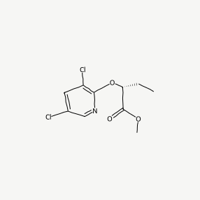 CC[C@@H](Oc1ncc(Cl)cc1Cl)C(=O)OC